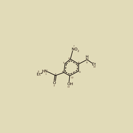 CCNC(=O)c1cc([N+](=O)[O-])c(NCC)cc1O